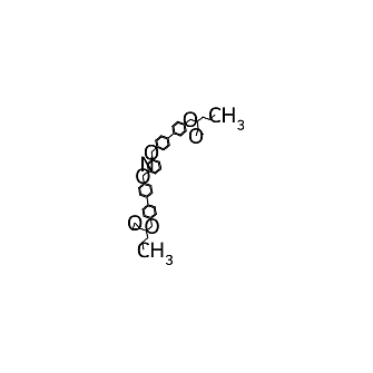 CCCC(Oc1ccc(-c2ccc(Oc3cccc(Oc4ccc(-c5ccc(OC(CCC)C6CO6)cc5)cc4)n3)cc2)cc1)C1CO1